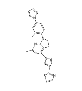 Cc1cc(-n2ccc(-c3nccs3)n2)c2c(n1)N(c1ccc(-n3cccn3)cc1C)CC2